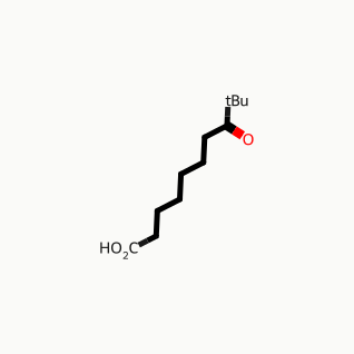 CC(C)(C)C(=O)CCCCCCC(=O)O